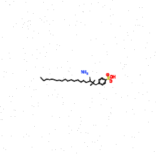 CCCCCCCCCCCCCCCCC(C)C(C)(C)Cc1ccc(S(=O)(=O)O)cc1.N